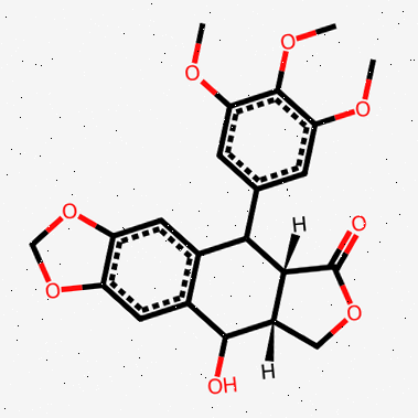 COc1cc(C2c3cc4c(cc3C(O)[C@H]3COC(=O)[C@@H]23)OCO4)cc(OC)c1OC